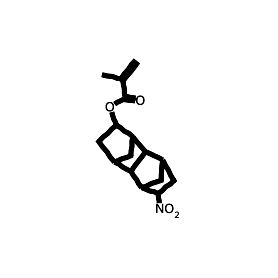 C=C(C)C(=O)OC1CC2CC1C1C3CC(C21)C([N+](=O)[O-])C3